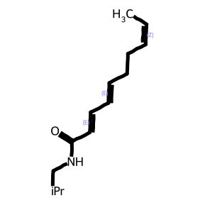 C/C=C\CC/C=C/C=C/C(=O)NCC(C)C